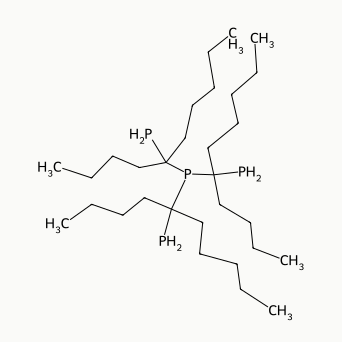 CCCCCC(P)(CCCC)P(C(P)(CCCC)CCCCC)C(P)(CCCC)CCCCC